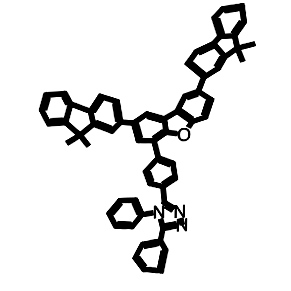 CC1(C)c2ccccc2-c2ccc(-c3ccc4oc5c(-c6ccc(-c7nnc(-c8ccccc8)n7-c7ccccc7)cc6)cc(-c6ccc7c(c6)C(C)(C)c6ccccc6-7)cc5c4c3)cc21